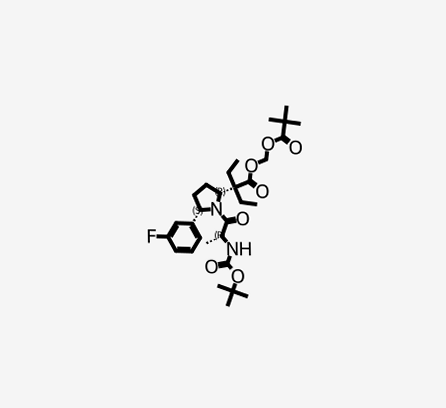 CCC(CC)(C(=O)OCOC(=O)C(C)(C)C)[C@H]1CC[C@@H](c2cccc(F)c2)N1C(=O)[C@@H](C)NC(=O)OC(C)(C)C